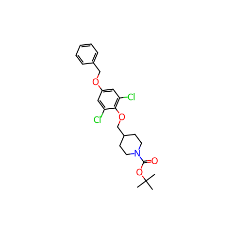 CC(C)(C)OC(=O)N1CCC(COc2c(Cl)cc(OCc3ccccc3)cc2Cl)CC1